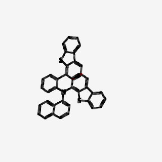 c1ccc(N(c2cccc3ccccc23)c2cccc3c2sc2ccccc23)c(-c2cccc3c2sc2ccccc23)c1